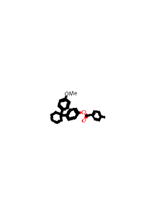 COc1ccc(C2(c3ccc(OC(=O)c4ccc(C)cc4)cc3)CCCCC2)cc1